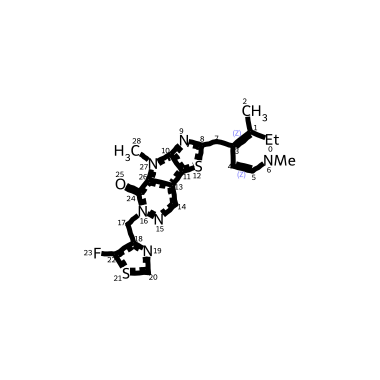 CC/C(C)=C(\C=C/NC)Cc1nc2c(s1)c1cnn(Cc3ncsc3F)c(=O)c1n2C